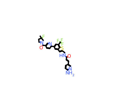 CC1(F)CCN(C(=O)c2ccc(-c3cc(C(F)(F)F)c4sc(CNC(=O)/C=C/c5ccc(N)nc5)cc4c3)nc2)C1